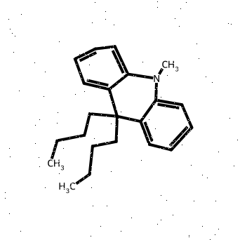 CCCCC1(CCCC)c2ccccc2N(C)c2ccccc21